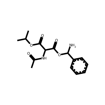 CC(=O)NC(C(=O)OC(C)C)C(=O)OC(N)c1ccccc1